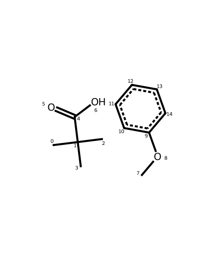 CC(C)(C)C(=O)O.COc1ccccc1